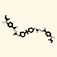 C/C=C(\C)[SiH2]c1ccc(C(=O)OOC(=O)OC2CCC(C(C)(C)C3CCC(OC(=O)OOC(=O)c4ccc([SiH2]/C(C)=C/C)cc4)CC3)CC2)cc1